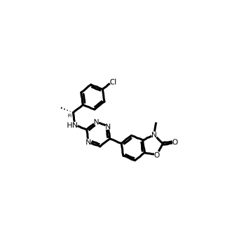 C[C@@H](Nc1ncc(-c2ccc3oc(=O)n(C)c3c2)nn1)c1ccc(Cl)cc1